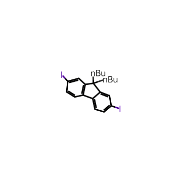 CCCCC1(CCCC)c2cc(I)ccc2-c2ccc(I)cc21